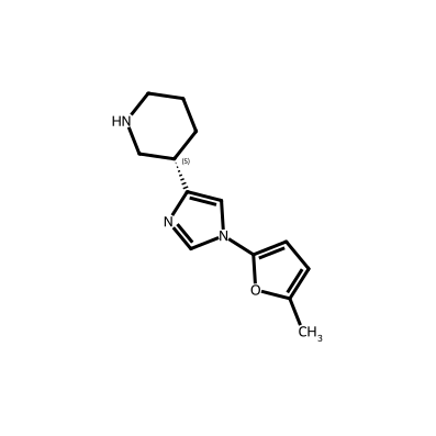 Cc1ccc(-n2cnc([C@H]3CCCNC3)c2)o1